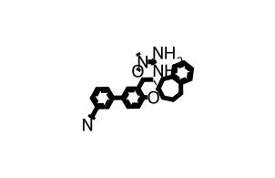 CN(O[C@@H]1C[C@]2(CCCc3ccccc3C2)Oc2ccc(-c3cccc(C#N)c3)cc21)C(=N)N